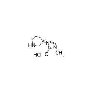 Cl.Cn1ccn([C@@H]2CCCNC2)c1=O